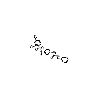 O=C(NCc1cccnc1)Nc1ccc(NS(=O)(=O)c2ccc(Cl)cc2Cl)cc1